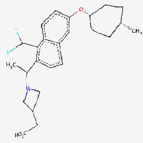 CC(c1ccc2cc(O[C@H]3CC[C@@H](C)CC3)ccc2c1C(F)F)N1CC(CC(=O)O)C1